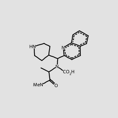 CNC(=O)C(C)N(C(=O)O)C(c1ccc2ccccc2n1)C1CCNCC1